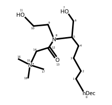 CCCCCCCCCCCCCCC(CO)N(CCO)C(=O)C[N+](C)(C)C